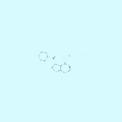 CNc1cnc2[nH]cc(C(=O)c3ccccc3Cl)c2c1NC(C=O)COC